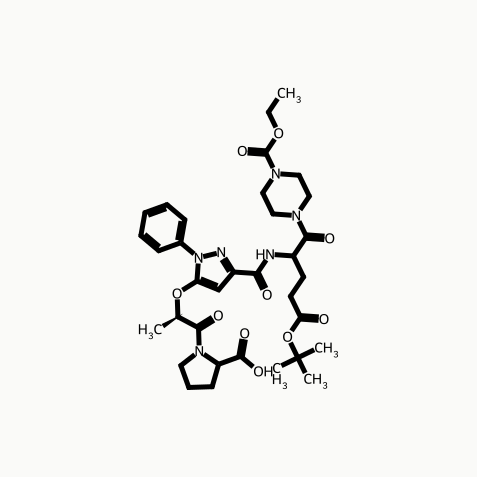 CCOC(=O)N1CCN(C(=O)C(CCC(=O)OC(C)(C)C)NC(=O)c2cc(O[C@H](C)C(=O)N3CCCC3C(=O)O)n(-c3ccccc3)n2)CC1